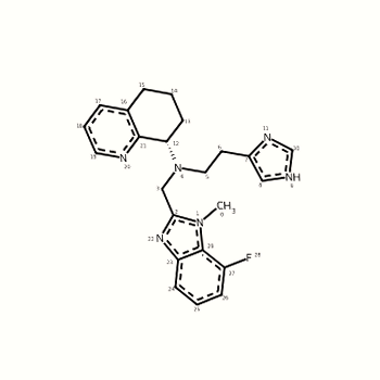 Cn1c(CN(CCc2c[nH]cn2)[C@H]2CCCc3cccnc32)nc2cccc(F)c21